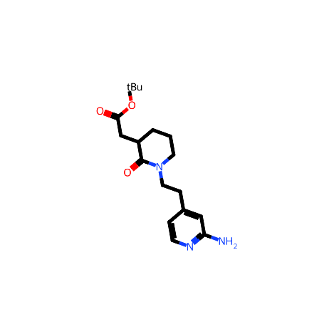 CC(C)(C)OC(=O)CC1CCCN(CCc2ccnc(N)c2)C1=O